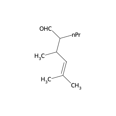 CCCC(C=O)C(C)C=C(C)C